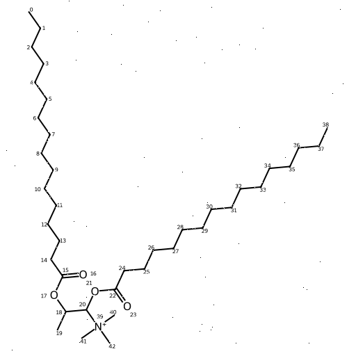 CCCCCCCCCCCCCCCC(=O)OC(C)C(OC(=O)CCCCCCCCCCCCCCC)[N+](C)(C)C